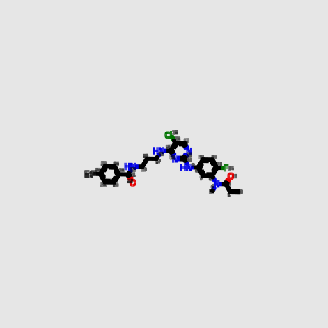 C=CC(=O)N(C)c1cc(Nc2ncc(Cl)c(NCCCNC(=O)c3ccc(CC)cc3)n2)ccc1F